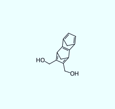 OCC1=C2CC(=C1CO)C1=C2C2=CC=C1C2